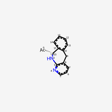 CC(=O)[C@H]1Nc2ncccc2Cc2ccccc21